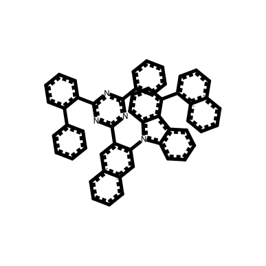 c1ccc(-c2nc(-c3ccccc3-c3ccccc3)nc(-c3cc4ccccc4cc3-n3c4ccccc4c4c(-c5cccc6ccccc56)cccc43)n2)cc1